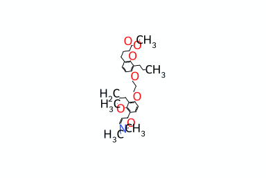 C=CCc1c(OCCCOc2ccc3c(c2CCC)OC(C(=O)OC)CC3)ccc(C(=O)/C=C\N(C)C)c1OC